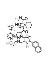 CC(C)(O)c1cnnn1[C@H]1C[C@@H](C(=O)NC2(C(O)C(N)=O)CCCCC2)N(C(=O)C(CNC(=O)O)NC(=O)c2ccc3ccccc3c2)C1